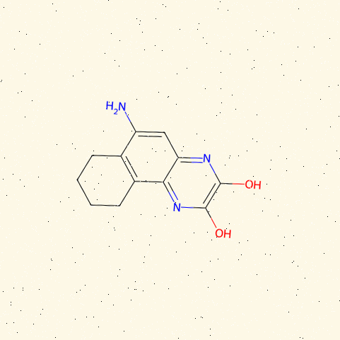 Nc1cc2nc(O)c(O)nc2c2c1CCCC2